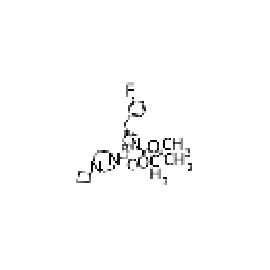 CC(C)(C)OC(=O)N1C[C@H](Cc2cccc(F)c2)C[C@H]1C(=O)N1CCCN(C2CCC2)CC1